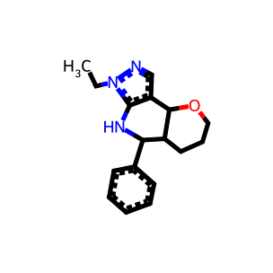 CCn1ncc2c1NC(c1ccccc1)C1CCCOC21